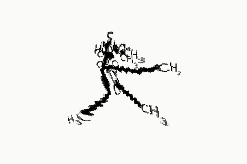 CCCCCCCCCCCCCCCC(C(=O)OCn1ccc2c1c(=O)[nH]c(=S)n2CCOC(C)C)C(COC(=O)CCCCCCCCCCC)COC(=O)CCCCCCCCCCC